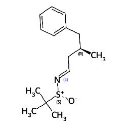 C[C@@H](C/C=N/[S@+]([O-])C(C)(C)C)Cc1ccccc1